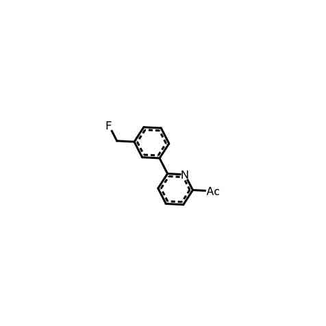 CC(=O)c1cccc(-c2cccc(CF)c2)n1